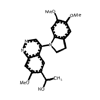 COc1cc2c(cc1OC)N(c1cnnc3cc(OC)c(C(C)O)cc13)CC2